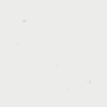 CC(=O)CCCC=CC(=O)O